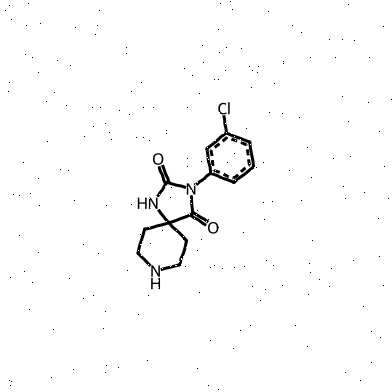 O=C1NC2(CCNCC2)C(=O)N1c1cccc(Cl)c1